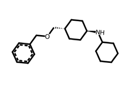 c1ccc(COC[C@H]2CC[C@H](NC3CCCCC3)CC2)cc1